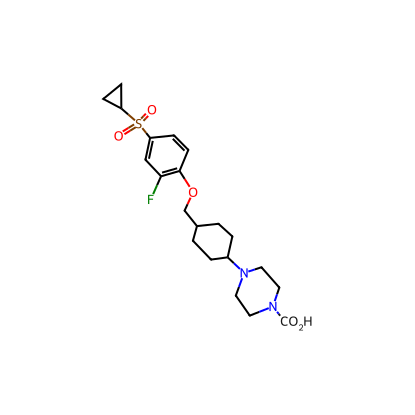 O=C(O)N1CCN(C2CCC(COc3ccc(S(=O)(=O)C4CC4)cc3F)CC2)CC1